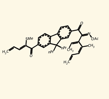 C=C/C=C(\SC)C(=O)c1ccc2c(c1)C(CCC)(CCC)c1cc(C(=O)C(=N/OC(C)=O)/C(=C/C)C(/C)=C\C=C)ccc1-2